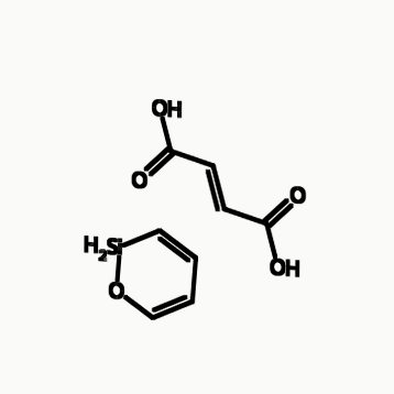 C1=CO[SiH2]C=C1.O=C(O)/C=C/C(=O)O